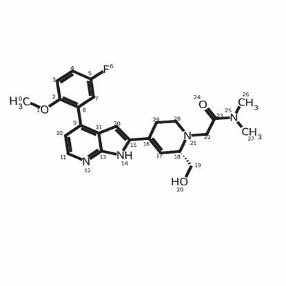 COc1ccc(F)cc1-c1ccnc2[nH]c(C3=C[C@@H](CO)N(CC(=O)N(C)C)CC3)cc12